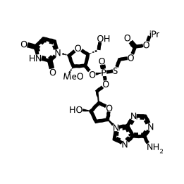 CO[C@H]1C(O[P@](=O)(OC[C@H]2O[C@@H](n3cnc4c(N)ncnc43)C[C@H]2O)SCOC(=O)OC(C)C)[C@@H](CO)O[C@H]1n1ccc(=O)[nH]c1=O